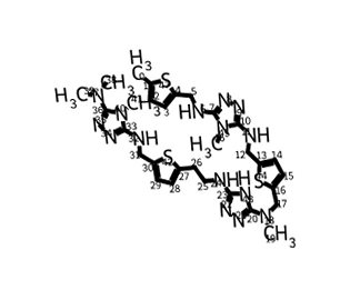 Cc1ccc(CNc2nnc(NCc3ccc(CN(C)c4nnc(NCCc5ccc(CNc6nnc(N(C)C)n6C)s5)[nH]4)s3)n2C)s1